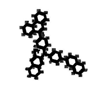 CC(C)c1cc2c(cc1N(c1ccc(-c3ccc4ccccc4c3)cc1)c1ccc(-c3cc4ccccc4c4ccccc34)cc1)CCCC2